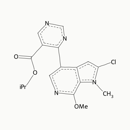 COc1ncc(-c2ncncc2C(=O)OC(C)C)c2cc(Cl)n(C)c12